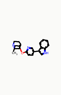 CC1C(Oc2ccc(-c3c[nH]c4ccccc34)cn2)C2CCN1CC2